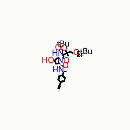 C#Cc1ccc([C@H](C)NC(=O)[C@@H]2C[C@@H](O)CN2C(=O)[C@@H](NC(=O)OC(C)(C)C)C(C)(C)CCO[Si](C)(C)C(C)(C)C)cc1